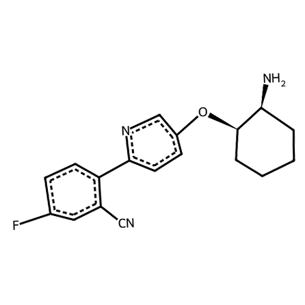 N#Cc1cc(F)ccc1-c1ccc(O[C@@H]2CCCC[C@@H]2N)cn1